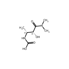 C[C@@H](NC(=O)O)[C@@H](O)C(=O)N(C)C